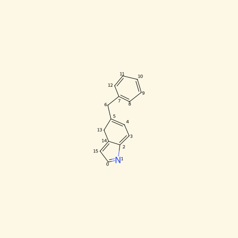 C1=NC2=CC=C(Cc3ccccc3)CC2=C1